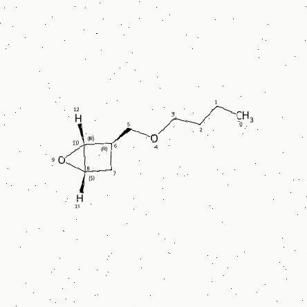 CCCCOC[C@H]1C[C@@H]2O[C@H]12